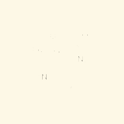 O=c1nc2ccnc-2c1=O.[Cd]